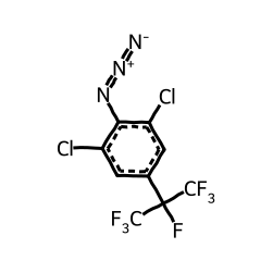 [N-]=[N+]=Nc1c(Cl)cc(C(F)(C(F)(F)F)C(F)(F)F)cc1Cl